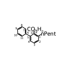 CCCCCc1cccc(-c2ccccc2)c1C(=O)O